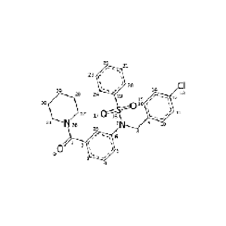 O=C(c1cccc(N(Cc2ccc(Cl)cc2)S(=O)(=O)c2ccccc2)c1)N1CCCCC1